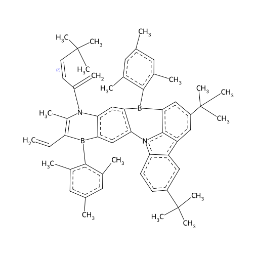 C=CC1=C(C)N(C(=C)/C=C\C(C)(C)C)c2cc3c(cc2B1c1c(C)cc(C)cc1C)-n1c2ccc(C(C)(C)C)cc2c2cc(C(C)(C)C)cc(c21)B3c1c(C)cc(C)cc1C